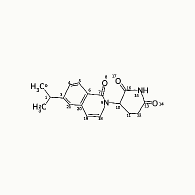 CC(C)c1ccc2c(=O)n(C3CCC(=O)NC3=O)ccc2c1